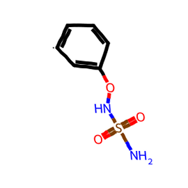 NS(=O)(=O)NOc1c[c]ccc1